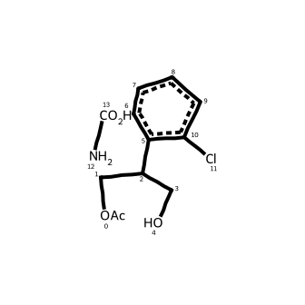 CC(=O)OCC(CO)c1ccccc1Cl.NC(=O)O